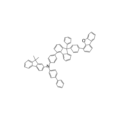 CC1(C)c2ccccc2-c2ccc(N(c3ccc(-c4ccccc4)cc3)c3ccc(-c4cccc5c4-c4ccccc4C5(c4ccccc4)c4ccc(-c5cccc6c5oc5ccccc56)cc4)cc3)cc21